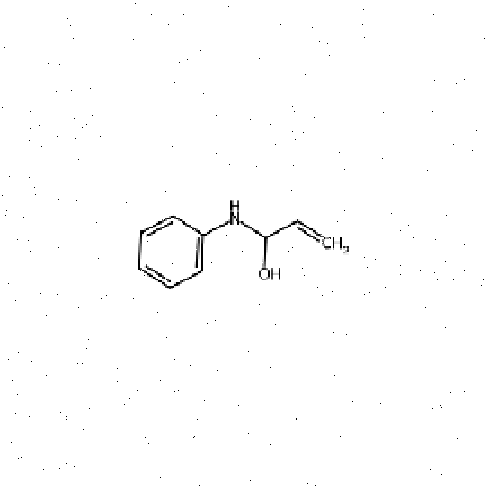 C=CC(O)Nc1ccccc1